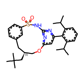 CC(C)c1cccc(C(C)C)c1-c1cc2nc(n1)NS(=O)(=O)c1cccc(c1)C[C@H](CC(C)(C)C)CO2